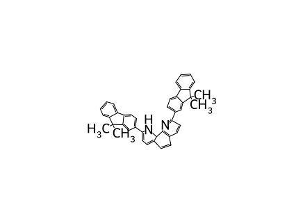 CC1(C)c2ccccc2-c2ccc(C3=CC=C4C=Cc5ccc(-c6ccc7c(c6)C(C)(C)c6ccccc6-7)nc5C4N3)cc21